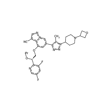 Cc1c(-c2cc(OC[C@H](OC(C)C)c3ncc(F)cc3F)c3c(C#N)cnn3c2)nnn1C1CCN(C2COC2)CC1